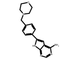 Nc1ncnc2[nH]c(-c3ccc(CN4CCOCC4)cc3)cc12